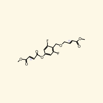 COC(=O)/C=C/COCc1c(F)cc(OC(=O)/C=C/C(=O)OC)cc1F